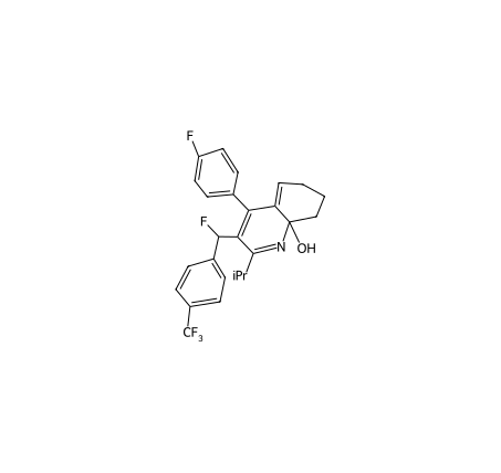 CC(C)C1=NC2(O)CCCC=C2C(c2ccc(F)cc2)=C1C(F)c1ccc(C(F)(F)F)cc1